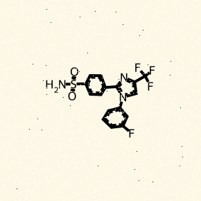 NS(=O)(=O)c1ccc(-c2nc(C(F)(F)F)cn2-c2cccc(F)c2)cc1